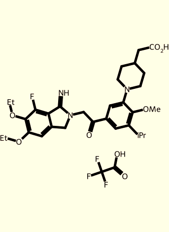 CCOc1cc2c(c(F)c1OCC)C(=N)N(CC(=O)c1cc(C(C)C)c(OC)c(N3CCC(CC(=O)O)CC3)c1)C2.O=C(O)C(F)(F)F